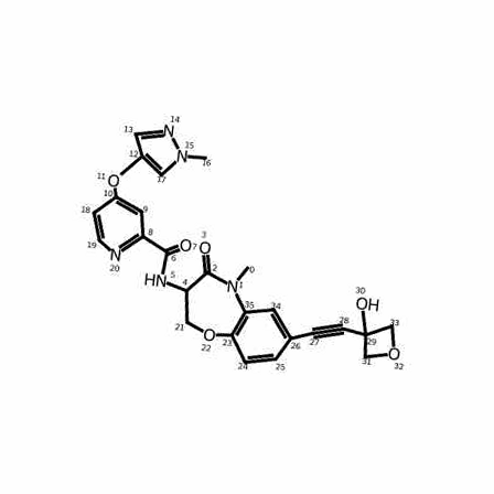 CN1C(=O)C(NC(=O)c2cc(Oc3cnn(C)c3)ccn2)COc2ccc(C#CC3(O)COC3)cc21